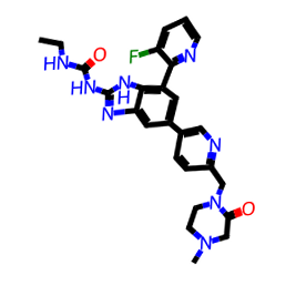 CCNC(=O)Nc1nc2cc(-c3ccc(CN4CCN(C)CC4=O)nc3)cc(-c3ncccc3F)c2[nH]1